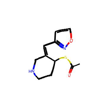 CC(=O)SC1CCNC/C1=C/c1ccon1